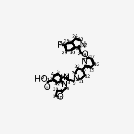 O=C(O)c1ccc2nc(CN3CCC(c4cccc(OCc5nccc6cc(F)ccc56)n4)CC3)n(CC3CCO3)c2c1